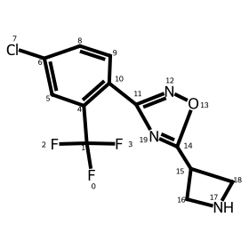 FC(F)(F)c1cc(Cl)ccc1-c1noc(C2CNC2)n1